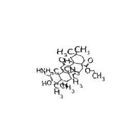 CCOC(=O)[C@]12CCC(C)(C)C[C@H]1C1C(=O)C=C3[C@@]4(C)CC(C=N)=C(O)C(C)(C)[C@@H]4CC[C@@]3(C)[C@]1(C)CC2